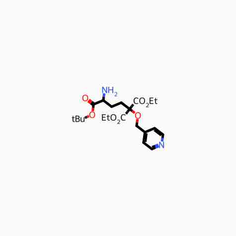 CCOC(=O)C(CCC(N)C(=O)OC(C)(C)C)(OCc1ccncc1)C(=O)OCC